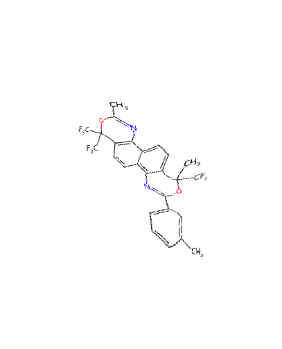 CC1=Nc2c(ccc3c4c(ccc23)C(C)(C(F)(F)F)OC(c2cccc(C)c2)=N4)C(C(F)(F)F)(C(F)(F)F)O1